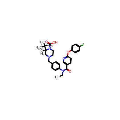 CCN(C(=O)c1ccc(Oc2ccc(F)cc2)nc1)c1ccc(CN2CCN(C(=O)O)[C@@](C)(C(C)(C)C)C2)cc1